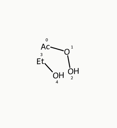 CC(=O)OO.CCO